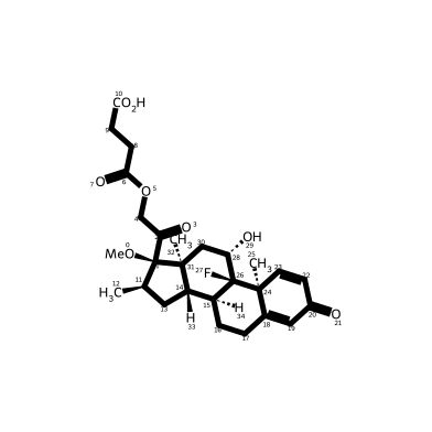 CO[C@]1(C(=O)COC(=O)CCC(=O)O)[C@H](C)C[C@H]2[C@@H]3CCC4=CC(=O)C=C[C@]4(C)[C@@]3(F)[C@@H](O)C[C@@]21C